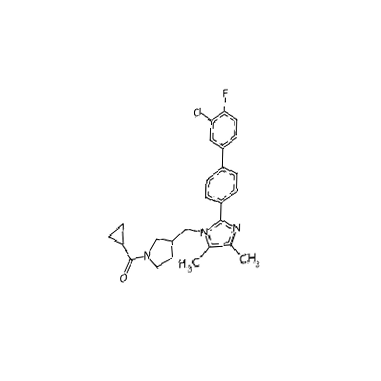 Cc1nc(-c2ccc(-c3ccc(F)c(Cl)c3)cc2)n(CC2CCN(C(=O)C3CC3)C2)c1C